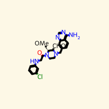 COC[C@@H]1C(C=O)N(Cc2ccc3c(N)ncnc3c2)CCN1C(=O)CNc1cccc(Cl)c1